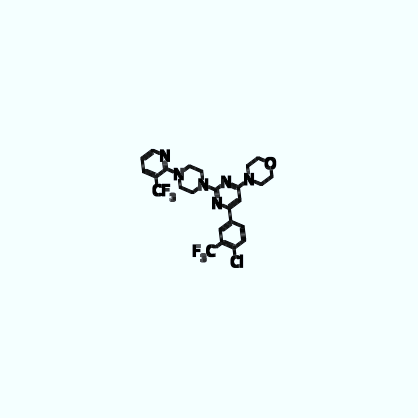 FC(F)(F)c1cc(-c2cc(N3CCOCC3)nc(N3CCN(c4ncccc4C(F)(F)F)CC3)n2)ccc1Cl